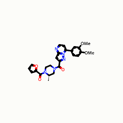 COc1ccc(-c2ccnc3cc(C(=O)N4CCN(C(=O)c5ccco5)[C@@H](C)C4)nn23)cc1OC